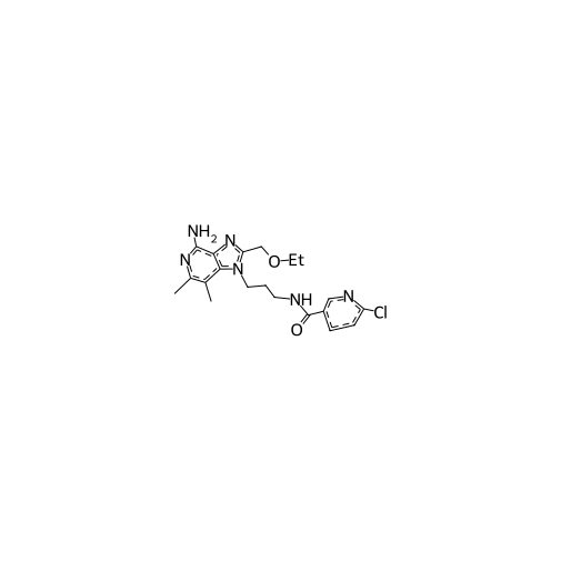 CCOCc1nc2c(N)nc(C)c(C)c2n1CCCNC(=O)c1ccc(Cl)nc1